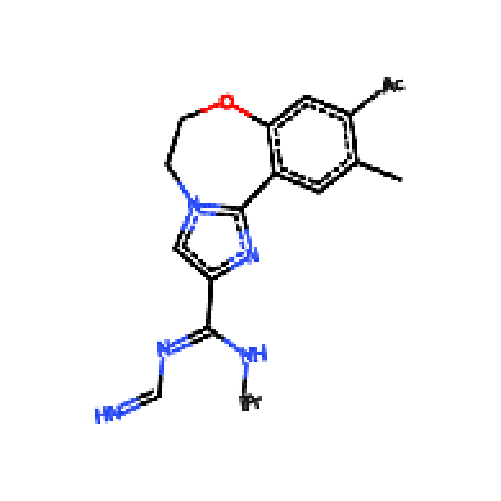 CC(=O)c1cc2c(cc1C)-c1nc(/C(=N/C=N)NC(C)C)cn1CCO2